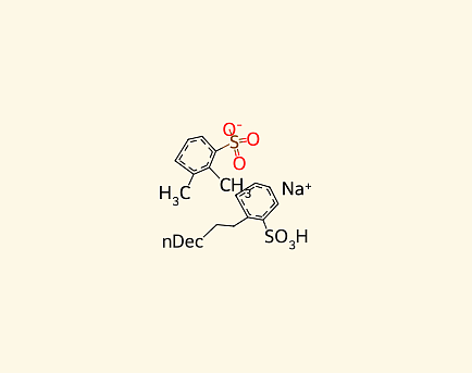 CCCCCCCCCCCCc1ccccc1S(=O)(=O)O.Cc1cccc(S(=O)(=O)[O-])c1C.[Na+]